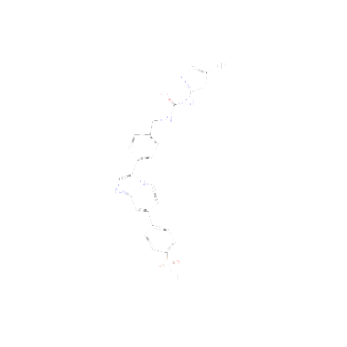 CC(C)(C)c1cnc(NC(=O)NCc2ccc(-c3cnc4cc(-c5ccc(S(C)(=O)=O)cc5)ccn34)cc2)s1